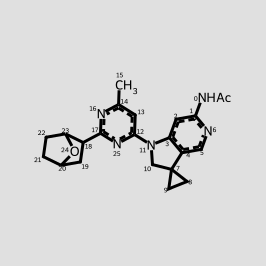 CC(=O)Nc1cc2c(cn1)C1(CC1)CN2c1cc(C)nc(C2CC3CCC2O3)n1